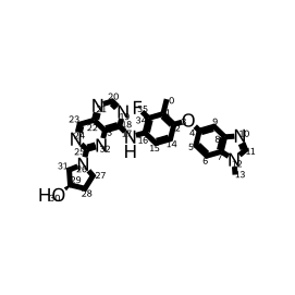 Cc1c(Oc2ccc3c(c2)ncn3C)ccc(Nc2ncnc3cnc(N4CC[C@@H](O)C4)nc23)c1F